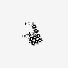 C.O=C(O)c1ccc(-c2ccccc2)cc1.O=C(O)c1ccc(-c2ccccc2)cc1.O=C(O)c1ccc(-c2ccccc2)cc1.O=C(O)c1ccc(-c2ccccc2)cc1